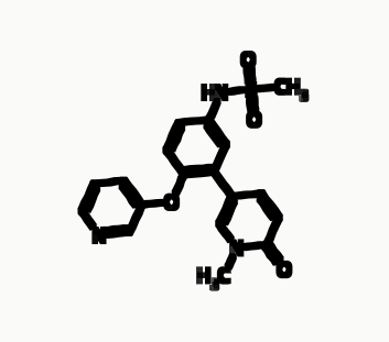 Cn1cc(-c2cc(NS(C)(=O)=O)ccc2Oc2cccnc2)ccc1=O